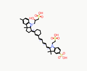 Cc1ccc2c(c1)C1(C)CC/C(=C3C=C(/C=C/C=C/C=C4\N(CCS(=O)(=O)O)c5ccc(S(=O)(=O)O)cc5C4(C)C)CCC\3)C1=[N+]2CC(O)CS(=O)(=O)O